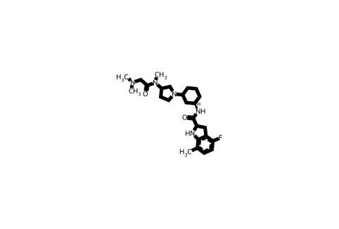 Cc1ccc(F)c2c1NC(C(=O)N[C@@H]1CCCC(N3CCC(N(C)C(=O)CN(C)C)C3)C1)C2